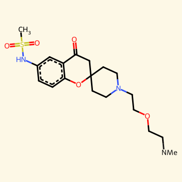 CNCCOCCN1CCC2(CC1)CC(=O)c1cc(NS(C)(=O)=O)ccc1O2